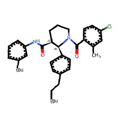 Cc1cc(Cl)ccc1C(=O)N1CCC[C@H](C(=O)Nc2cccc(C(C)(C)C)c2)[C@@H]1c1ccc(CCC(C)(C)C)cc1